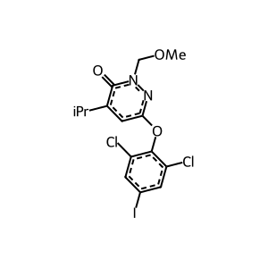 COCn1nc(Oc2c(Cl)cc(I)cc2Cl)cc(C(C)C)c1=O